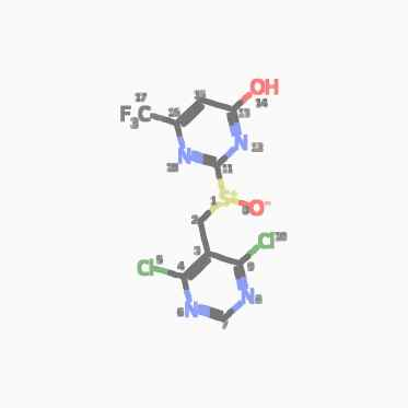 [O-][S+](Cc1c(Cl)ncnc1Cl)c1nc(O)cc(C(F)(F)F)n1